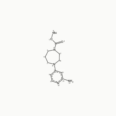 CC(C)(C)OC(=O)N1CCCN(c2ccnc(N)c2)CC1